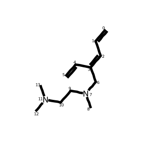 C=C/C=C(\C=C)CN(C)CCN(C)C